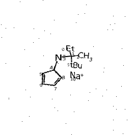 CCC(C)([N-]C1C=CC=C1)C(C)(C)C.[Na+]